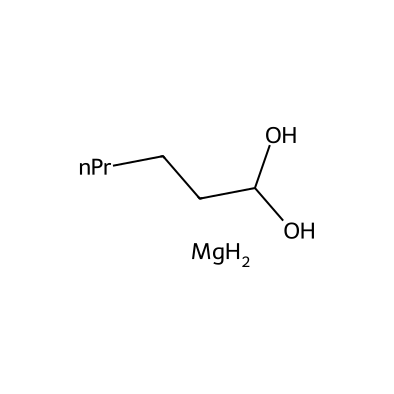 CCCCCC(O)O.[MgH2]